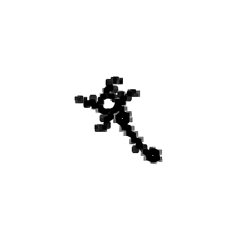 CC(C)(C)OC(=O)CN1CCN(CC(=O)OC(C)(C)C)CCN(CC(=O)OC(C)(C)C)C(Cc2ccc(/C=C/CCCCC(=O)OCc3ccccc3)cc2)CN(CC(=O)OC(C)(C)C)CC1